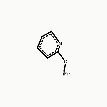 C[C](C)Oc1ccccn1